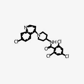 O=C(NC1CCN(c2ccnc3cc(Cl)ccc23)CC1)c1c(Cl)cc(Cl)cc1Cl